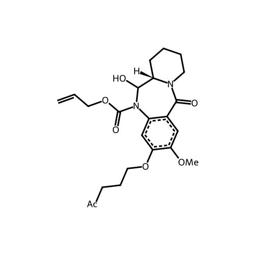 C=CCOC(=O)N1c2cc(OCCCC(C)=O)c(OC)cc2C(=O)N2CCCC[C@H]2C1O